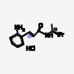 CC(C)[C@H](C)NC(=O)/C=C/c1ccccc1N.Cl